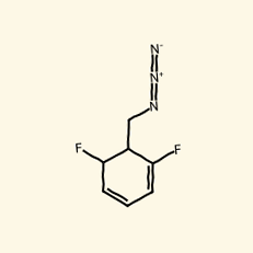 [N-]=[N+]=NCC1C(F)=CC=CC1F